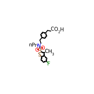 CCCN(CCc1ccc(CCC(=O)O)cc1)S(=O)(=O)c1sc2ccc(F)cc2c1C